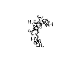 COC(=O)NCCCc1cc(C(C)N(C(=O)[C@H]2CNCCO2)C2CC2)sc1C1CC1